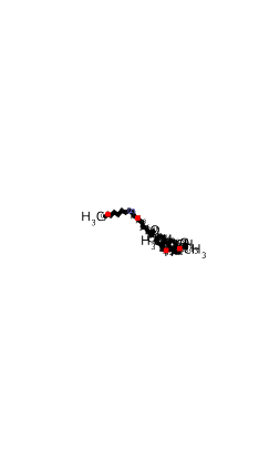 CCCCCCCC/C=C\CCCCCCCC(=O)O[C@H]1CC[C@@]2(C)C(=CC[C@H]3[C@@H]4CC[C@H](C(C)=O)[C@@]4(C)CC[C@@H]32)C1